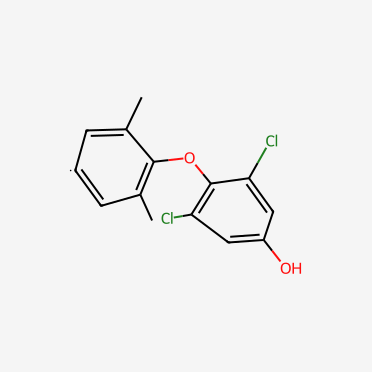 Cc1c[c]cc(C)c1Oc1c(Cl)cc(O)cc1Cl